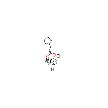 CC1(C)C2C[C@H]1CC1OB(CCc3ccccc3)O[C@]12C